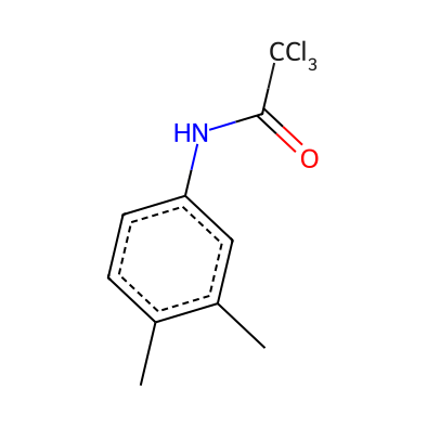 Cc1ccc(NC(=O)C(Cl)(Cl)Cl)cc1C